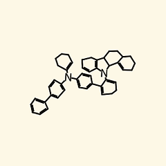 C1=CC2=C(CC1)C1CCC3CCCC=C3C1N2C1=CCCC=C1c1ccc(N(C2=CCCCC2)c2ccc(-c3ccccc3)cc2)cc1